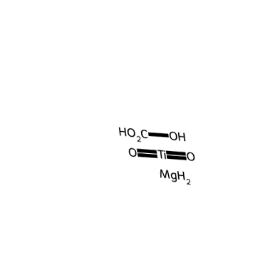 O=C(O)O.[MgH2].[O]=[Ti]=[O]